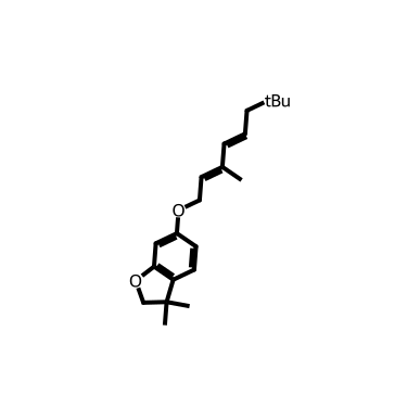 CC(/C=C/CC(C)(C)C)=C\COc1ccc2c(c1)OCC2(C)C